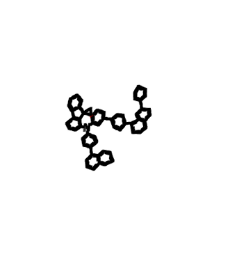 c1ccc(-c2ccc3cccc(-c4ccc(-c5cccc(N(c6ccc(-c7cccc8ccccc78)cc6)c6cccc7c6C6(CC6)c6ccccc6-7)c5)cc4)c3c2)cc1